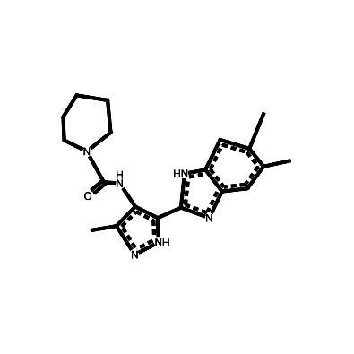 Cc1cc2nc(-c3[nH]nc(C)c3NC(=O)N3CCCCC3)[nH]c2cc1C